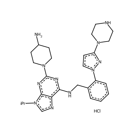 CC(C)n1cnc2c(NCc3ccccc3-n3ccc(N4CCNCC4)n3)nc(N3CCC(N)CC3)nc21.Cl